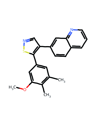 COc1cc(-c2sncc2-c2ccc3cccnc3c2)cc(C)c1C